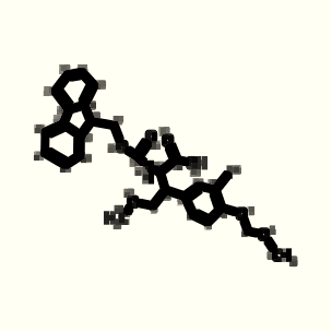 COCOc1ccc(C(COC)C(NC(=O)OCC2c3ccccc3-c3ccccc32)C(=O)O)cc1I